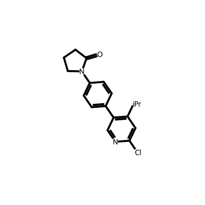 CC(C)c1cc(Cl)ncc1-c1ccc(N2CCCC2=O)cc1